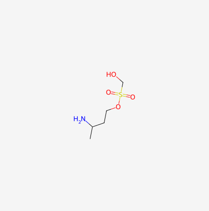 CC(N)CCOS(=O)(=O)CO